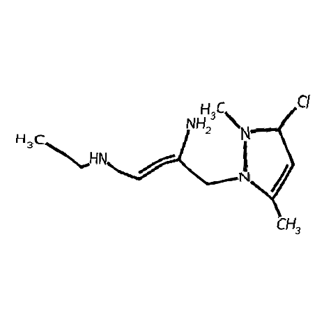 CCN/C=C(\N)CN1C(C)=CC(Cl)N1C